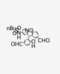 CCCCS(=O)(=O)Nc1cccc(C(c2cc(C=O)ccc2O)c2cc(C=O)ccc2O)c1